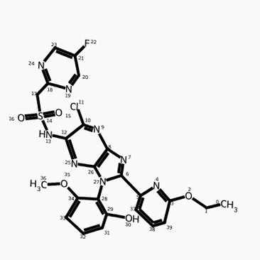 CCOC1=NC(c2nc3nc(Cl)c(NS(=O)(=O)Cc4ncc(F)cn4)nc3n2-c2c(O)cccc2OC)=C=C=C1